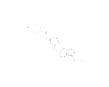 CCCC(=N)C1CCN(C(=O)Nc2cc(Nc3ccc4c(ccn4C(=O)NC)c3)ncn2)CC1